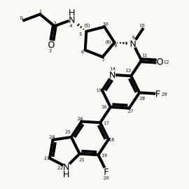 CCC(=O)N[C@H]1CC[C@@H](N(C)C(=O)c2ncc(-c3cc(F)c4[nH]ccc4c3)cc2F)C1